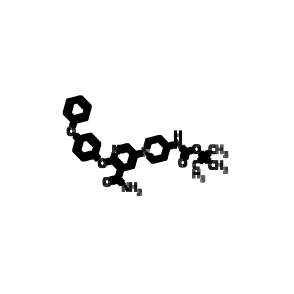 CC(C)(C)OC(=O)NC1CCN(c2cnc(Oc3ccc(Oc4ccccc4)cc3)c(C(N)=O)c2)CC1